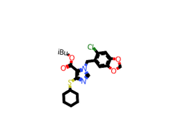 CCC(C)OC(=O)c1c(SC2CCCCC2)ncn1Cc1cc2c(cc1Cl)OCO2